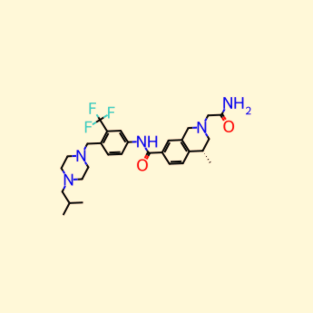 CC(C)CN1CCN(Cc2ccc(NC(=O)c3ccc4c(c3)CN(CC(N)=O)C[C@@H]4C)cc2C(F)(F)F)CC1